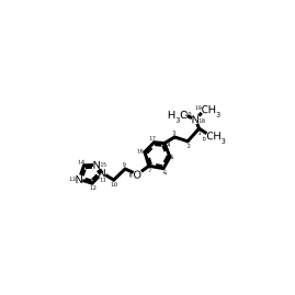 CC(CCc1ccc(OCCn2cncn2)cc1)N(C)C